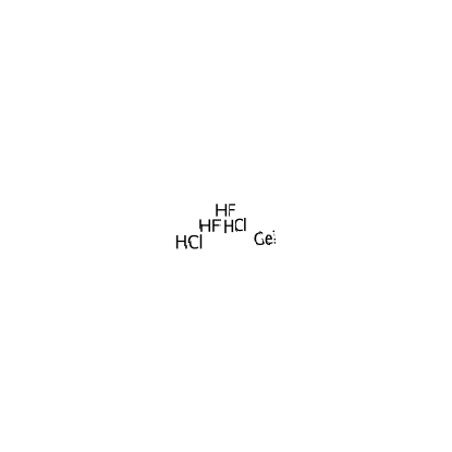 Cl.Cl.F.F.[Ge]